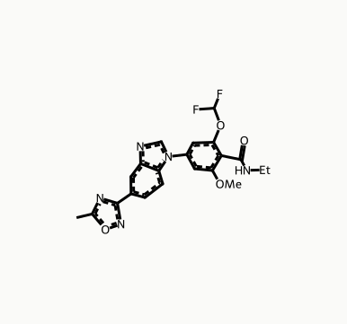 CCNC(=O)c1c(OC)cc(-n2cnc3cc(-c4noc(C)n4)ccc32)cc1OC(F)F